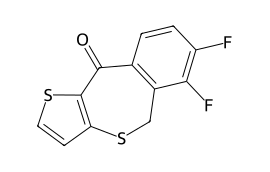 O=C1c2ccc(F)c(F)c2CSc2ccsc21